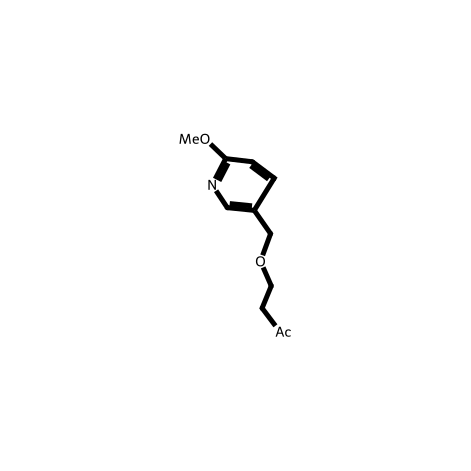 COc1ccc(COCCC(C)=O)cn1